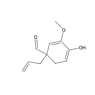 C=CCC1(C=O)C=C(OC)C(O)=CC1